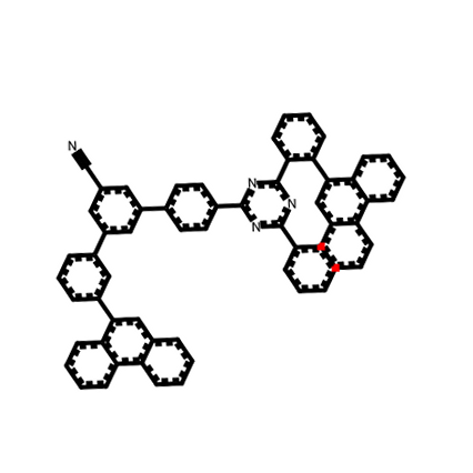 N#Cc1cc(-c2ccc(-c3nc(-c4ccccc4)nc(-c4ccccc4-c4cc5ccccc5c5ccccc45)n3)cc2)cc(-c2cccc(-c3cc4ccccc4c4ccccc34)c2)c1